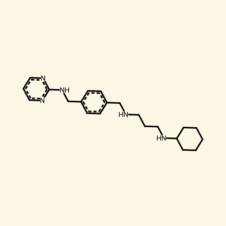 c1cnc(NCc2ccc(CNCCCNC3CCCCC3)cc2)nc1